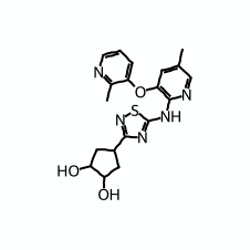 Cc1cnc(Nc2nc(C3CC(O)C(O)C3)ns2)c(Oc2cccnc2C)c1